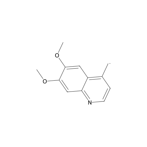 [CH2]c1ccnc2cc(OC)c(OC)cc12